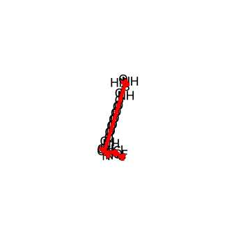 COc1cc2ncnc(Nc3ccc(OCc4cccc(F)c4)c(Cl)c3)c2cc1OCCNC(=O)CCOCCOOCCOOCCOOCCOOCCOOCCOCCNC(=O)CCCCC1SCC2NC(=O)NC21